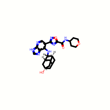 O=C(NC1CCOCC1)c1nc(-c2cnc3[nH]cnc3c2N[C@H]2[C@@H]3CC4C[C@H]2C[C@@](O)(C4)C3)no1